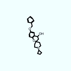 OC1CC2(CCN(C3CCC3)CC2)Oc2ccc(OCc3ccccc3)cc21